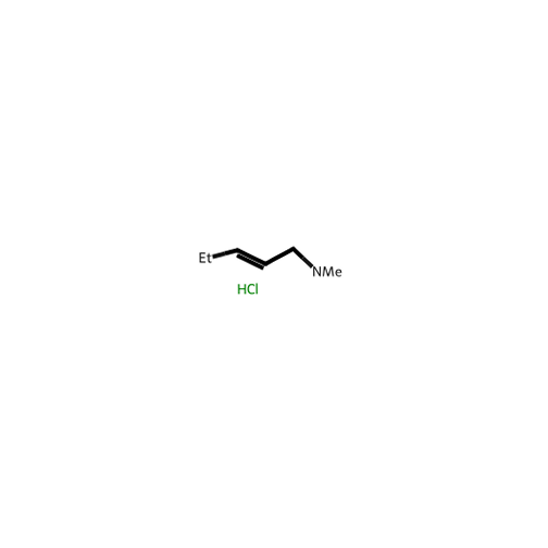 CCC=CCNC.Cl